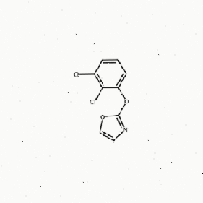 Clc1cccc(Oc2n[c]co2)c1Cl